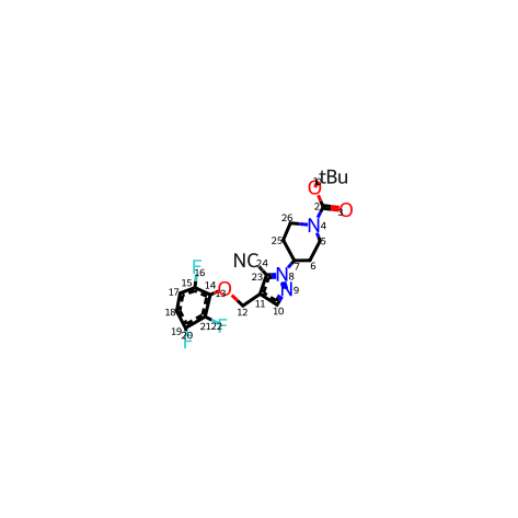 CC(C)(C)OC(=O)N1CCC(n2ncc(COc3c(F)ccc(F)c3F)c2C#N)CC1